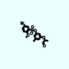 COc1ccc(Br)cc1S(=O)(=O)Oc1cc(C)cc(OC(C)C=O)c1